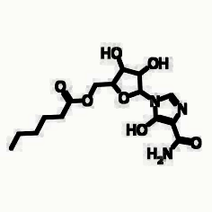 CCCCCC(=O)OCC1OC(n2cnc(C(N)=O)c2O)C(O)C1O